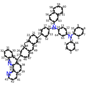 c1ccc(N(c2ccccc2)c2ccc(N(c3ccc(-c4ccc5cc6cc(-c7c8ccccc8nc8c7ccc7cccnc78)ccc6cc5c4)cc3)c3ccc4ccccc4c3)cc2)cc1